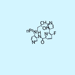 CCCN(CC[C@@H](C)O)c1ccncc1NC(=O)c1ccc(F)c(-c2ccncc2)n1